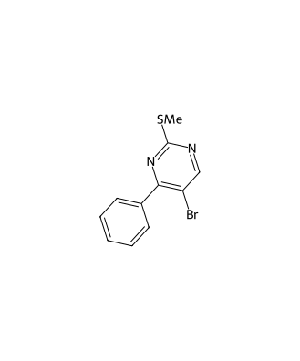 CSc1ncc(Br)c(-c2ccccc2)n1